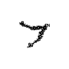 C=CC(=O)OCCCCCCCOc1ccc(-c2ccc(COc3ccc(C#N)cc3OCc3ccc(-c4ccc(OCCCCCCCOC(=O)C=C)cc4)nc3)cn2)cc1